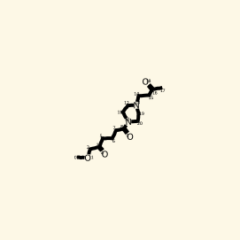 COCC(=O)CCCC(=O)N1CCN(CCC(C)=O)CC1